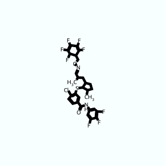 CC(/C=N/OCC1C(F)=C(F)C(F)=C(F)C1F)CC1CCC(C)C1Sc1cc(C(=O)Nc2cc(F)c(F)c(F)c2)ccc1Cl